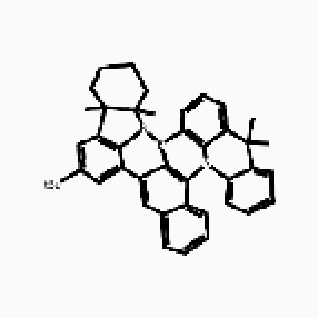 CC(C)(C)c1cc2c3c(c1)C1(C)CCCCC1(C)N3B1c3cccc4c3N(c3ccccc3C4(C)C)c3c1c-2cc1ccccc31